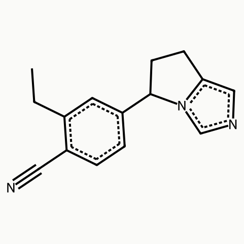 CCc1cc(C2CCc3cncn32)ccc1C#N